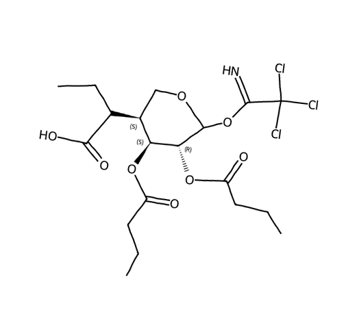 CCCC(=O)O[C@H]1[C@@H](C(CC)C(=O)O)COC(OC(=N)C(Cl)(Cl)Cl)[C@@H]1OC(=O)CCC